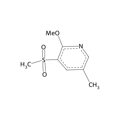 COc1ncc(C)cc1S(C)(=O)=O